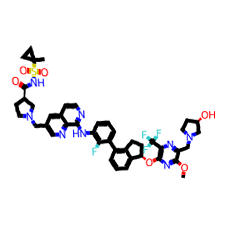 COc1nc(O[C@@H]2CCc3c(-c4cccc(Nc5nccc6cc(CN7CC[C@@H](C(=O)NS(=O)(=O)C8(C)CC8)C7)cnc56)c4F)cccc32)c(C(F)(F)F)nc1CN1CC[C@@H](O)C1